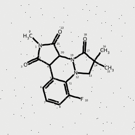 CN1C(=O)C2c3cccc(F)c3N3CC(C)(C)C(=O)N3C2C1=O